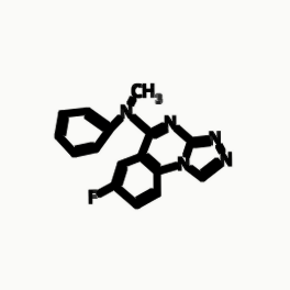 CN(c1ccccc1)c1nc2nncn2c2ccc(F)cc12